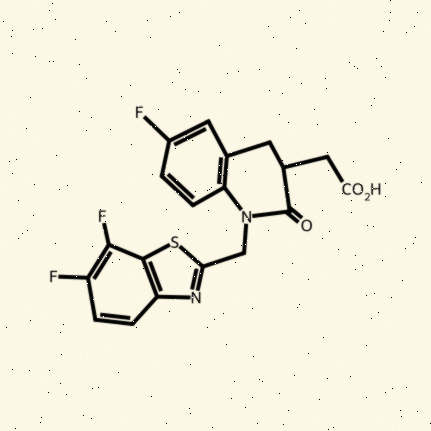 O=C(O)CC1Cc2cc(F)ccc2N(Cc2nc3ccc(F)c(F)c3s2)C1=O